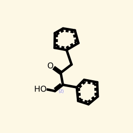 O=C(Cc1ccccc1)/C(=C\O)c1ccccc1